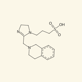 O=S(=O)(O)CCCN1CCN=C1CN1CCc2ccccc2C1